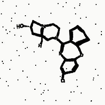 O[C@H]1C[C@H]2CN(C3=Nc4cc(Cl)ccc4Oc4ccccc43)CCN2C1